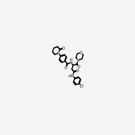 O=C(CC(NC(=O)c1ccc(N2CCCCC2=O)cc1)C(=O)N1CCOCC1)Nc1ccc(Cl)cc1